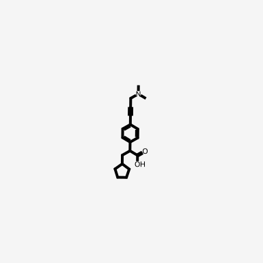 CN(C)CC#Cc1ccc(C(CC2CCCC2)C(=O)O)cc1